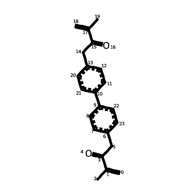 C=C(C)C(=O)Cc1ccc(-c2ccc(CC(=O)C(=C)C)cc2)cc1